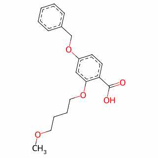 COCCCCOc1cc(OCc2ccccc2)ccc1C(=O)O